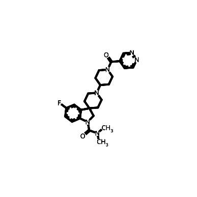 CN(C)C(=O)N1CC2(CCN(C3CCN(C(=O)c4ccnnc4)CC3)CC2)c2cc(F)ccc21